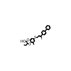 CCC(Oc1ccc(SCC=C(I)c2ccc(-c3ccccc3)cc2)cc1C)C(=O)O